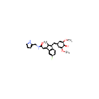 COC1=CC(=CC2=C(C)/C(=C\C(=O)NCc3ccc[nH]3)c3cc(F)ccc32)C=C(OC)C1=O